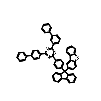 c1ccc(-c2ccc(-c3nc(-c4ccc(C5(c6ccc7sc8ccccc8c7c6)c6ccccc6-c6ccccc65)cc4)nc(-c4cccc(-c5ccccc5)c4)n3)cc2)cc1